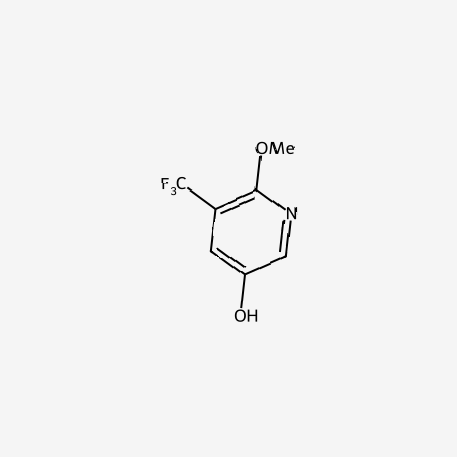 COc1ncc(O)cc1C(F)(F)F